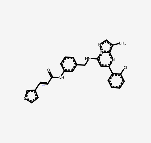 Bc1cnn2c(NCc3cccc(NC(=O)/C=C/c4ccsc4)c3)cc(-c3ccccc3Cl)nc12